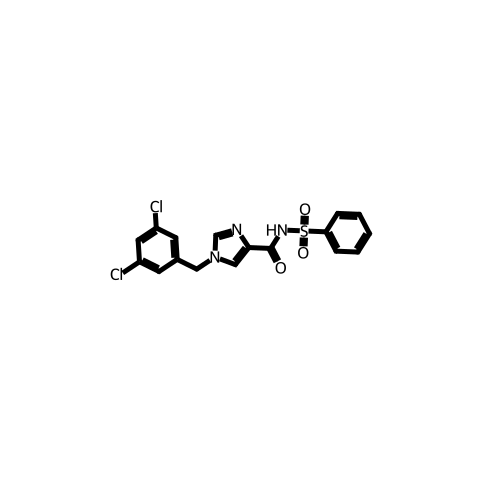 O=C(NS(=O)(=O)c1ccccc1)c1cn(Cc2cc(Cl)cc(Cl)c2)cn1